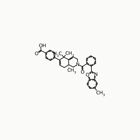 Cc1ccc2oc(-c3ccccc3C(=O)N3CC=C4C(C)(C)C(c5ccc(C(=O)O)cc5)=CC[C@]4(C)C3)nc2c1